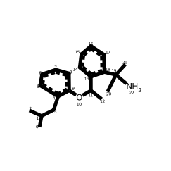 CC(C)Cc1ccccc1OC(C)c1ccccc1C(C)(C)N